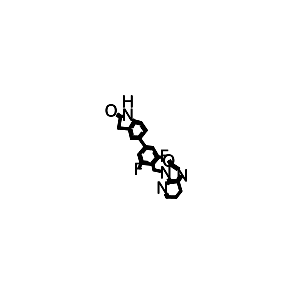 O=C1Cc2cc(-c3cc(F)c(Cn4c5c(ncc4=O)CCC=N5)c(F)c3)ccc2N1